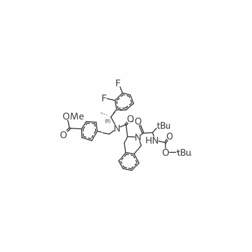 COC(=O)c1ccc(CN(C(=O)C2Cc3ccccc3CN2C(=O)C(NC(=O)OC(C)(C)C)C(C)(C)C)[C@H](C)c2cccc(F)c2F)cc1